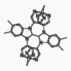 Cc1ncc(N2c3cc(C)c(C)cc3N(c3cnc(C)nc3)C2C2N(c3cnc(C)nc3)c3cc(C)c(C)cc3N2c2cnc(C)nc2)cn1